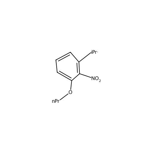 CCCOc1cccc([C](C)C)c1[N+](=O)[O-]